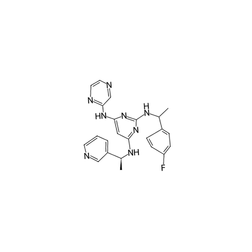 CC(Nc1nc(Nc2cnccn2)cc(N[C@@H](C)c2cccnc2)n1)c1ccc(F)cc1